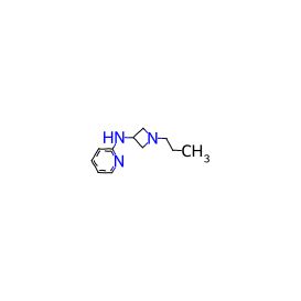 CCCN1CC(Nc2ccccn2)C1